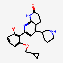 O=C1CCc2c(C3CCCNC3)cc(-c3c(O)cccc3OCC3CC3)nc2N1